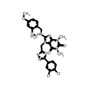 COc1ccc(CNc2nc3c(c(=O)n(C)c(=O)n3C)n2Cc2nnc(-c3ccc(Cl)c(Cl)c3)o2)c(OC)c1